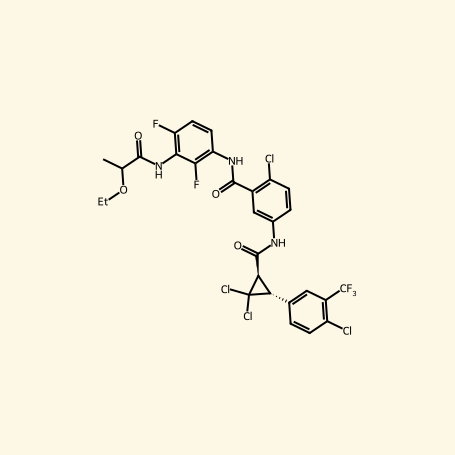 CCOC(C)C(=O)Nc1c(F)ccc(NC(=O)c2cc(NC(=O)[C@H]3[C@H](c4ccc(Cl)c(C(F)(F)F)c4)C3(Cl)Cl)ccc2Cl)c1F